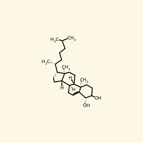 CC(C)CCC[C@@H](C)[C@H]1CC[C@H]2[C@@H]3CC=C4[C@@H](O)C(O)CC[C@]4(C)[C@H]3CC[C@]12C